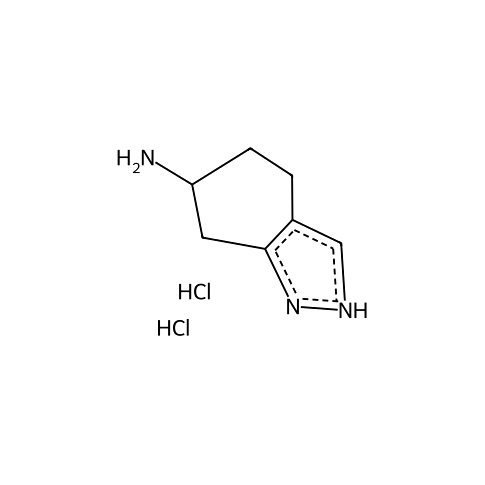 Cl.Cl.NC1CCc2c[nH]nc2C1